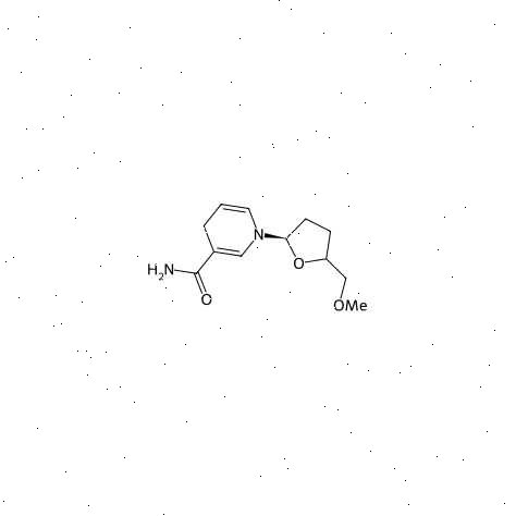 COCC1CC[C@H](N2C=CCC(C(N)=O)=C2)O1